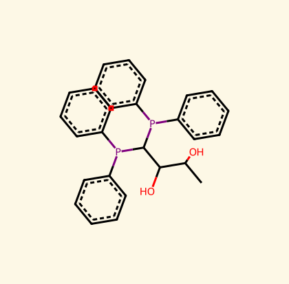 CC(O)C(O)C(P(c1ccccc1)c1ccccc1)P(c1ccccc1)c1ccccc1